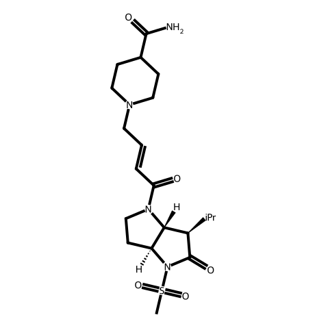 CC(C)[C@H]1C(=O)N(S(C)(=O)=O)[C@H]2CCN(C(=O)/C=C/CN3CCC(C(N)=O)CC3)[C@H]12